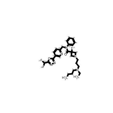 CCCCN(CC)CCCN1CC(F)(C(=O)N(Cc2ccc(-c3nnc(C(F)F)o3)cn2)c2ccccc2)C1